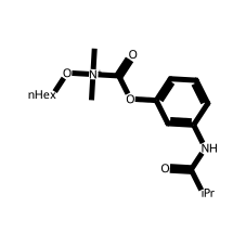 CCCCCCO[N+](C)(C)C(=O)Oc1cccc(NC(=O)C(C)C)c1